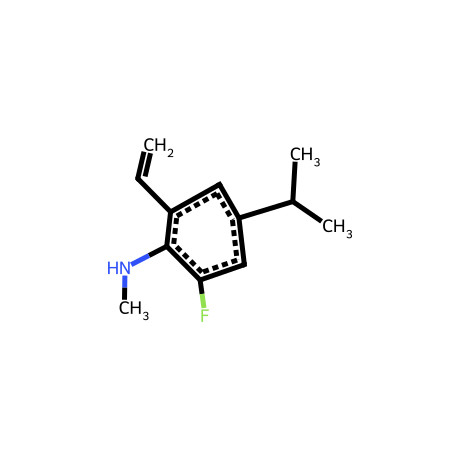 C=Cc1cc(C(C)C)cc(F)c1NC